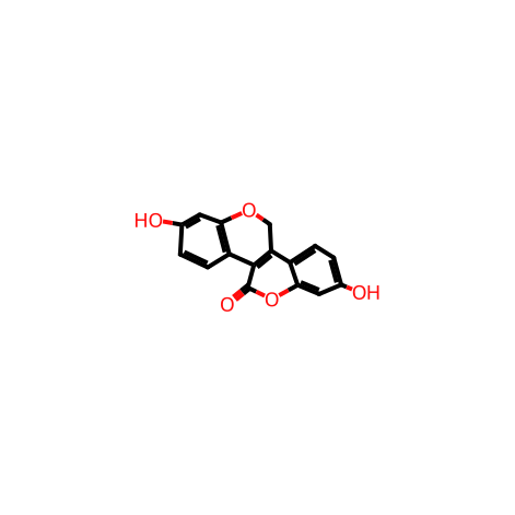 O=c1oc2cc(O)ccc2c2c1-c1ccc(O)cc1OC2